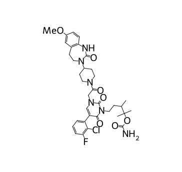 COc1ccc2c(c1)CCN(C1CCN(C(=O)Cn3cc(-c4cccc(F)c4Cl)c(=O)n(CCC(C)C(C)(C)OC(N)=O)c3=O)CC1)C(=O)N2